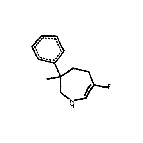 CC1(c2ccccc2)CCC(F)=CNC1